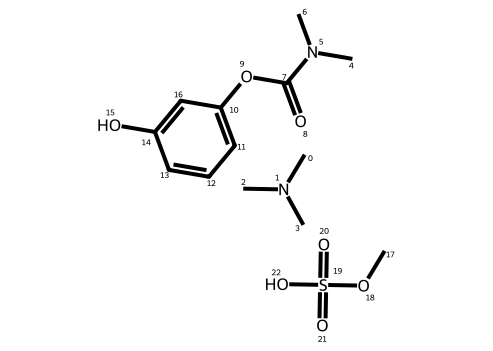 CN(C)C.CN(C)C(=O)Oc1cccc(O)c1.COS(=O)(=O)O